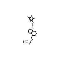 Cc1nc(CCOc2cccc3c2CCC=C3CCC(=O)O)c(C)s1